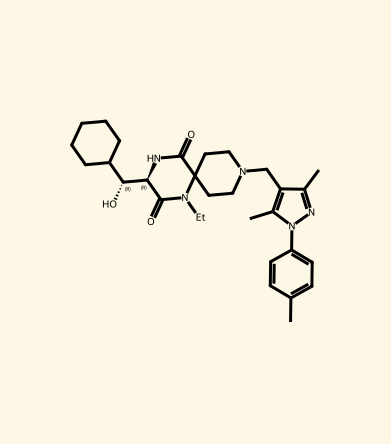 CCN1C(=O)[C@@H]([C@H](O)C2CCCCC2)NC(=O)C12CCN(Cc1c(C)nn(-c3ccc(C)cc3)c1C)CC2